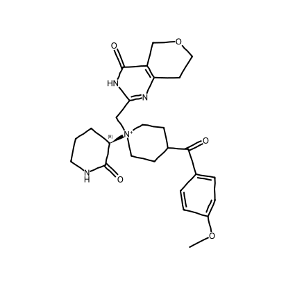 COc1ccc(C(=O)C2CC[N+](Cc3nc4c(c(=O)[nH]3)COCC4)([C@@H]3CCCNC3=O)CC2)cc1